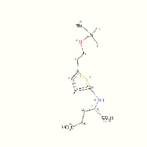 CC(C)(C)[Si](C)(C)OCCc1ccc(N[C@@H](CCC(=O)O)C(=O)O)s1